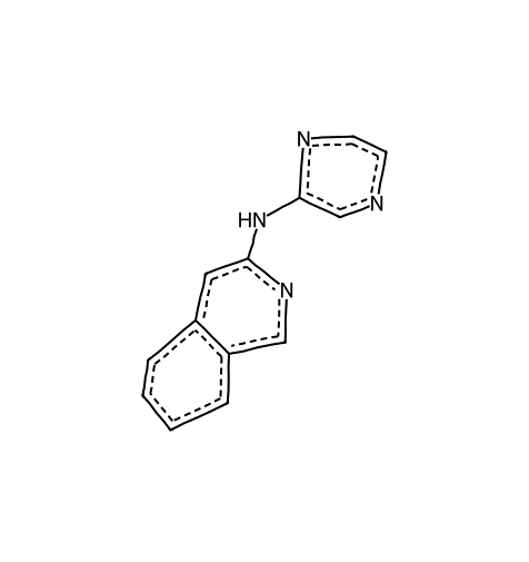 c1ccc2cc(Nc3cnccn3)ncc2c1